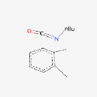 CCCCN=C=O.Cc1ccccc1C